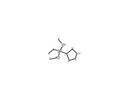 CC[Si](OC)(OC)C1CCCC1